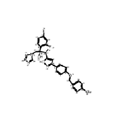 C[C@@H](c1cc(-c2ccc(OCc3ccc(C(C)(C)C)cc3)cc2)no1)[C@](O)(Cn1cnnn1)c1ccc(F)cc1F